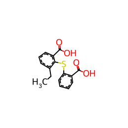 CCc1cccc(C(=O)O)c1Sc1ccccc1C(=O)O